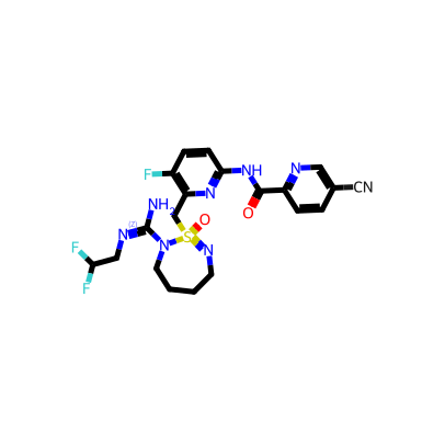 N#Cc1ccc(C(=O)Nc2ccc(F)c(CS3(=O)=NCCCCN3/C(N)=N\CC(F)F)n2)nc1